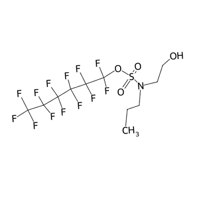 CCCN(CCO)S(=O)(=O)OC(F)(F)C(F)(F)C(F)(F)C(F)(F)C(F)(F)C(F)(F)F